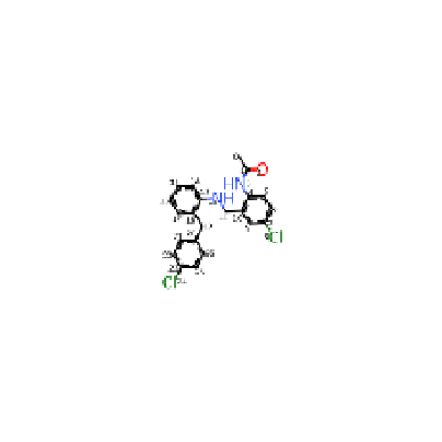 CC(=O)Nc1ccc(Cl)cc1CNc1ccccc1Cc1ccc(Cl)cc1